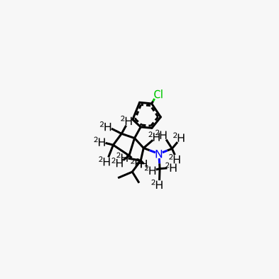 [2H]C([2H])([2H])N(C([2H])([2H])[2H])C([2H])(C([2H])([2H])C(C)C)C1(c2ccc(Cl)cc2)C([2H])([2H])C([2H])([2H])C1([2H])[2H]